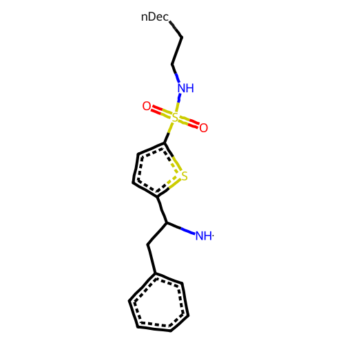 CCCCCCCCCCCCNS(=O)(=O)c1ccc(C([NH])Cc2ccccc2)s1